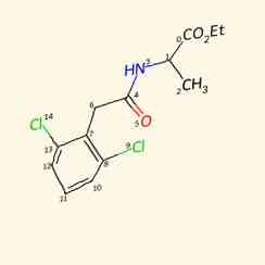 CCOC(=O)C(C)NC(=O)Cc1c(Cl)cccc1Cl